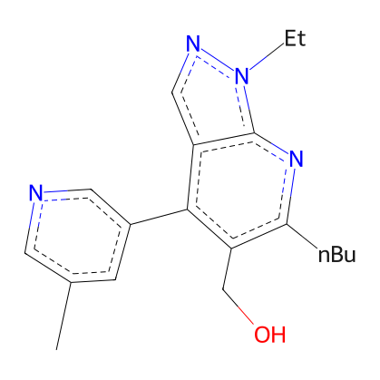 CCCCc1nc2c(cnn2CC)c(-c2cncc(C)c2)c1CO